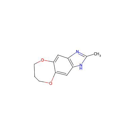 Cc1nc2cc3c(cc2[nH]1)OCCCO3